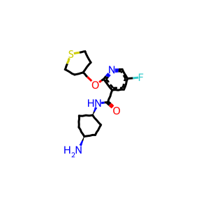 N[C@H]1CC[C@@H](NC(=O)c2cc(F)cnc2OC2CCSCC2)CC1